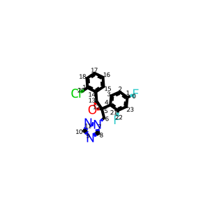 Fc1ccc(C2(Cn3cncn3)OC2c2ccccc2Cl)c(F)c1